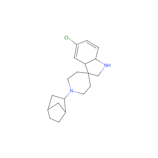 ClC1=CC2C(C=C1)NCC21CCN(C2CC3CCC2C3)CC1